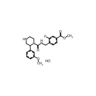 COC(=O)c1ccc(CNC(=O)N2CCNCC2c2cccc(OC)c2)c(F)c1.Cl